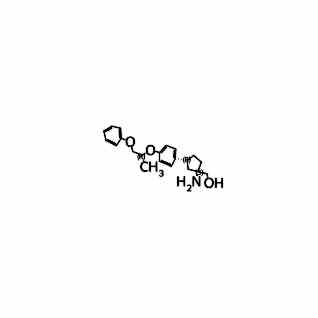 C[C@H](COc1ccccc1)Oc1ccc([C@@H]2CC[C@@](N)(CO)C2)cc1